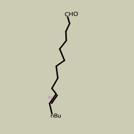 CCCC/C=C/CCCCCCCCC=O